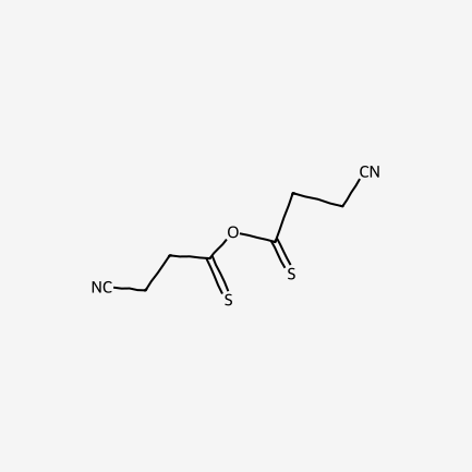 N#CCCC(=S)OC(=S)CCC#N